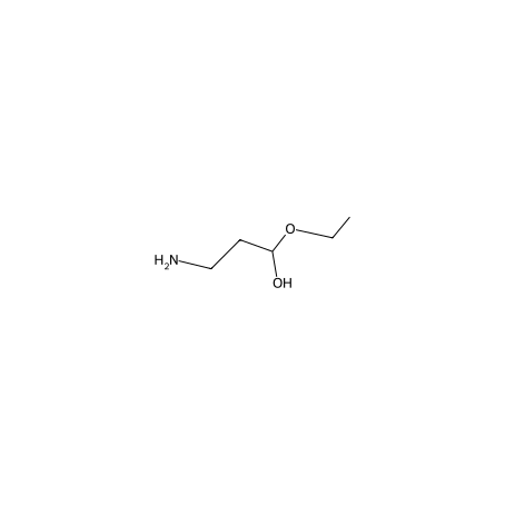 CCOC(O)CCN